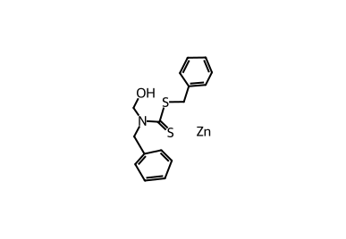 OCN(Cc1ccccc1)C(=S)SCc1ccccc1.[Zn]